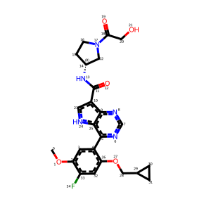 COc1cc(-c2ncnc3c(C(=O)N[C@@H]4CCN(C(=O)CO)C4)c[nH]c23)c(OCC2CC2)cc1F